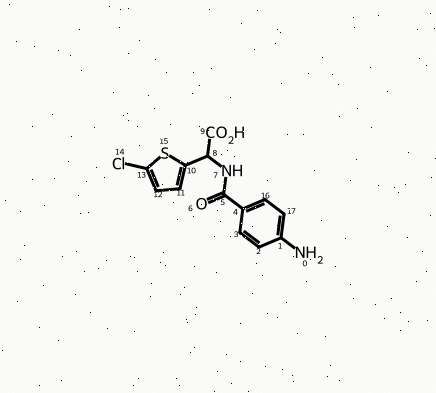 Nc1ccc(C(=O)NC(C(=O)O)c2ccc(Cl)s2)cc1